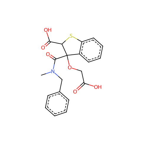 CN(Cc1ccccc1)C(=O)C1(OCC(=O)O)c2ccccc2SC1C(=O)O